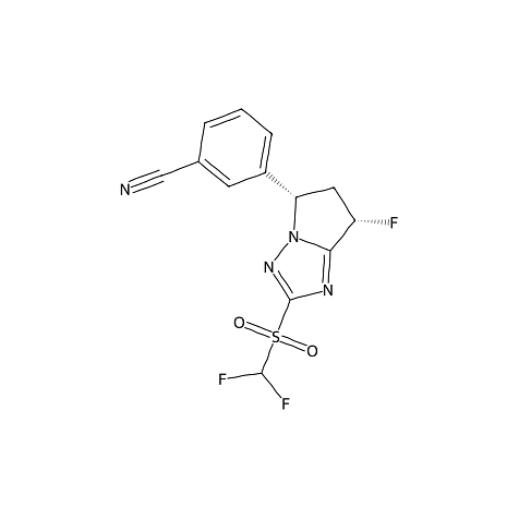 N#Cc1cccc([C@@H]2C[C@H](F)c3nc(S(=O)(=O)C(F)F)nn32)c1